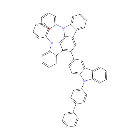 c1ccc(-c2ccc(-n3c4ccccc4c4cc(-c5cc6c7ccccc7n(-c7ccccc7)c6c6c5c5ccccc5n6-c5ccccc5)ccc43)cc2)cc1